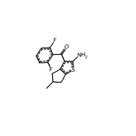 CC1Cc2sc(N)c(C(=O)c3c(F)cccc3F)c2C1